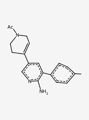 CC(=O)N1CC=C(c2cnc(N)c(-c3ccc(C)cc3)c2)CC1